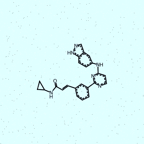 O=C(/C=C/c1cccc(-c2nccc(Nc3ccc4[nH]ncc4c3)n2)c1)NC1CC1